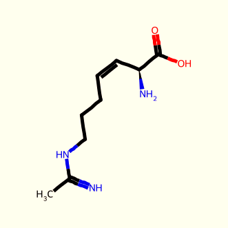 CC(=N)NCCC/C=C\[C@H](N)C(=O)O